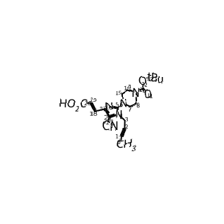 CC#CCn1c(N2CCN(C(=O)OC(C)(C)C)CC2)nc(C=CC(=O)O)c1C#N